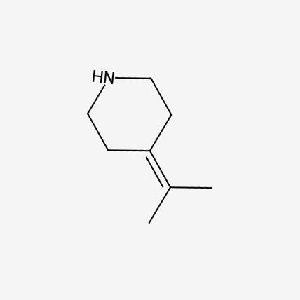 CC(C)=C1CCNCC1